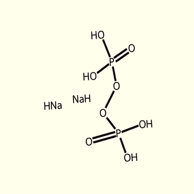 O=P(O)(O)OOP(=O)(O)O.[NaH].[NaH]